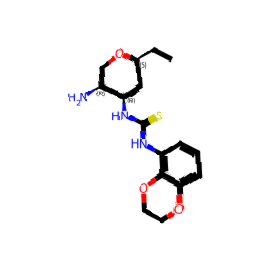 CC[C@H]1C[C@@H](NC(=S)Nc2cccc3c2OCCO3)[C@@H](N)CO1